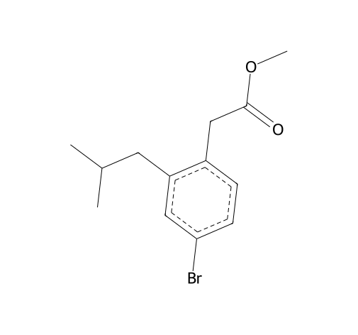 COC(=O)Cc1ccc(Br)cc1CC(C)C